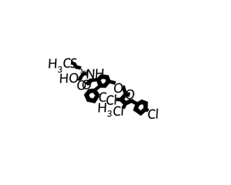 CSCC[C@H](NC(=O)c1ccc(COCc2oc(-c3ccc(Cl)cc3)c(Cl)c2Cl)cc1-c1ccccc1C)C(=O)O